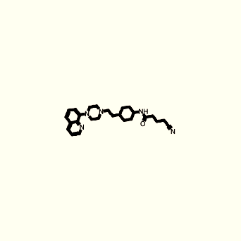 N#CCCCC(=O)NC1CCC(CCN2CCN(c3cccc4cccnc34)CC2)CC1